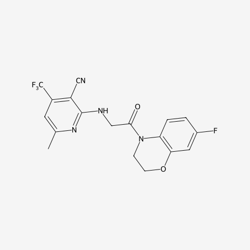 Cc1cc(C(F)(F)F)c(C#N)c(NCC(=O)N2CCOc3cc(F)ccc32)n1